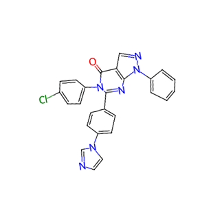 O=c1c2cnn(-c3ccccc3)c2nc(-c2ccc(-n3ccnc3)cc2)n1-c1ccc(Cl)cc1